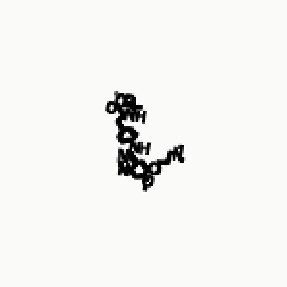 COC(=O)C(Cc1ccc(Nc2ncnc3cc(OC)c(OCCCN(C)C)cc23)cc1)NC(C)=O